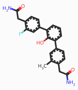 Cc1cc(-c2cccc(-c3ccc(CC(N)=O)c(F)c3)c2O)ccc1CC(N)=O